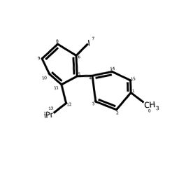 Cc1ccc(-c2c(I)cccc2CC(C)C)cc1